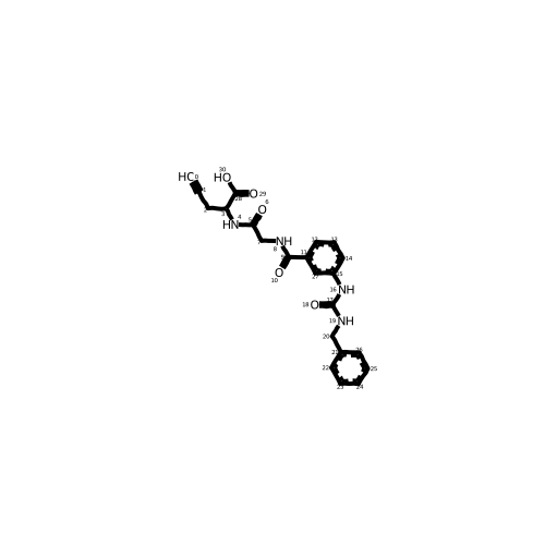 C#CCC(NC(=O)CNC(=O)c1cccc(NC(=O)NCc2ccccc2)c1)C(=O)O